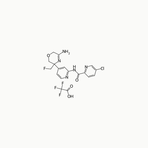 NC1=NC(CF)(c2ccnc(NC(=O)c3ccc(Cl)cn3)c2)COC1.O=C(O)C(F)(F)F